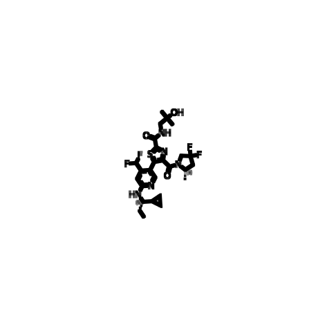 CC[C@H](Nc1cc(C(F)F)c(-c2sc(C(=O)NCC(C)(C)O)nc2C(=O)N2CC(F)(F)C[C@@H]2C)cn1)C1CC1